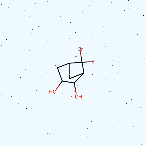 OC1CC2CC(C1O)C2(Br)Br